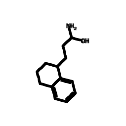 NC(O)CCC1CCCc2ccccc21